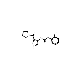 COc1ccccc1CC(=O)Nc1c[nH]nc1C(=O)N1CCCC1